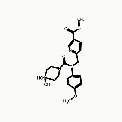 COC(=O)c1ccc(CN(C(=O)N2CCS(O)(O)CC2)c2ccc(OC)cc2)nc1